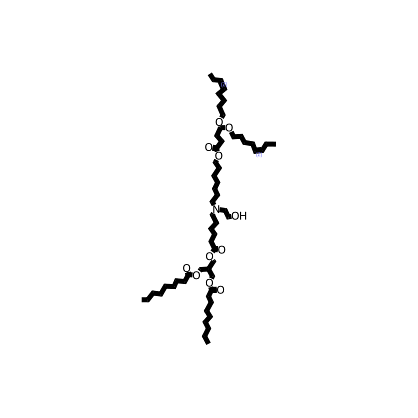 CC/C=C\CCCCOC(CCC(=O)OCCCCCCCN(CCO)CCCCCC(=O)OCC(COC(=O)CCCCCCCC)COC(=O)CCCCCCCC)OCCCC/C=C\CC